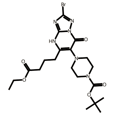 CCOC(=O)CCCc1[nH]c2nc(Br)nn2c(=O)c1N1CCN(C(=O)OC(C)(C)C)CC1